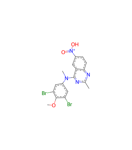 COc1c(Br)cc(N(C)c2nc(C)nc3ccc([N+](=O)O)cc23)cc1Br